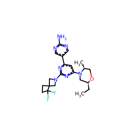 CC[C@H]1CN(c2cc(-c3cnc(N)nc3)nc(N3CC4(CCC4(F)F)C3)n2)[C@@H](C)CO1